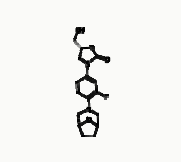 O=C1O[C@@H](CO)CN1c1ccc(N2CC3CCC(C2)O3)c(F)c1